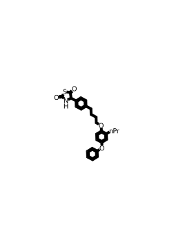 CCCc1cc(Oc2ccccc2)ccc1OCCCCc1ccc(C2NC(=O)SC2=O)cc1